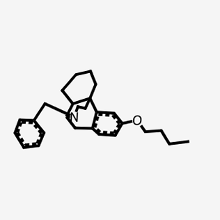 CCCCOc1ccc2c(c1)C13CCCCC1C(C2)N(Cc1ccccc1)CC3